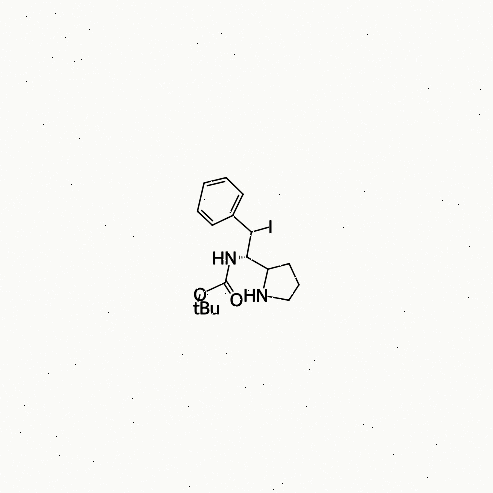 CC(C)(C)OC(=O)N[C@@H](C1CCCN1)C(I)c1ccccc1